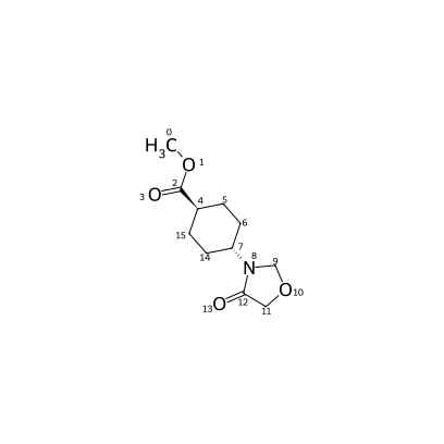 COC(=O)[C@H]1CC[C@H](N2COCC2=O)CC1